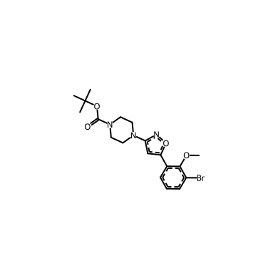 COc1c(Br)cccc1-c1cc(N2CCN(C(=O)OC(C)(C)C)CC2)no1